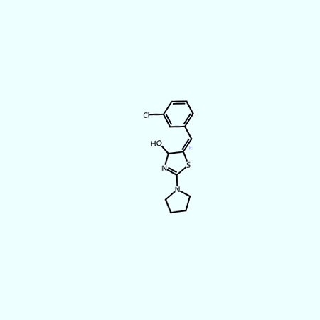 OC1N=C(N2CCCC2)S/C1=C/c1cccc(Cl)c1